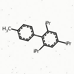 Cc1ccc(-c2c(C(C)C)cc(C(C)C)cc2C(C)C)cc1